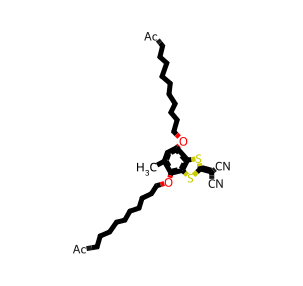 CC(=O)CCCCCCCCCCOc1cc(C)c(OCCCCCCCCCCC(C)=O)c2c1SC(=C(C#N)C#N)S2